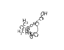 Cc1cccc(C)c1-c1cc2nc(n1)N[S+]([O-])c1cccc(c1)CCC1CCN(Cc3cccc(O)c3)C[C@@H]1CO2